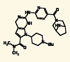 CN(C)C(=O)c1cc2c(n1C1CCN(C(C)(C)C)CC1)NC(Nc1ccc(C(=O)N3CC4CCC(C3)N4)cn1)=NC2